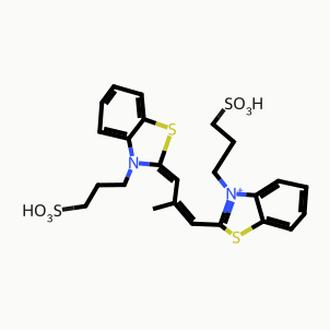 CC(=Cc1sc2ccccc2[n+]1CCCS(=O)(=O)O)C=C1Sc2ccccc2N1CCCS(=O)(=O)O